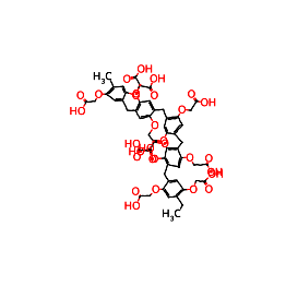 CCc1cc(OCC(=O)O)c(Cc2cc(OCC(=O)O)c(Cc3cc(OCC(=O)O)c(Cc4cc(OCC(=O)O)c(Cc5cc(OCC(=O)O)c(C)cc5OCC(=O)O)cc4OCC(=O)O)cc3OCC(=O)O)cc2OCC(=O)O)cc1OCC(=O)O